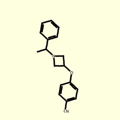 CC(c1ccccc1)N1CC(Oc2ccc(C#N)cc2)C1